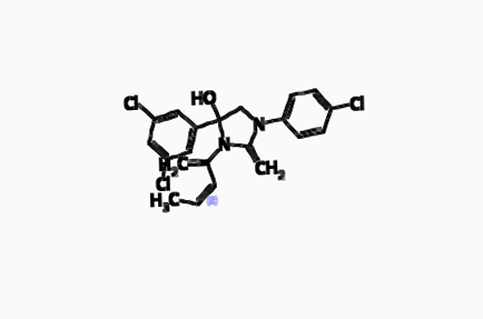 C=C(/C=C\C)N1C(=C)N(c2ccc(Cl)cc2)CC1(O)c1cc(Cl)cc(Cl)c1